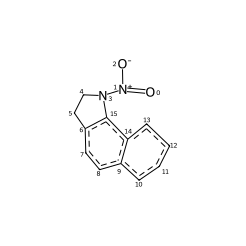 O=[N+]([O-])N1CCc2ccc3ccccc3c21